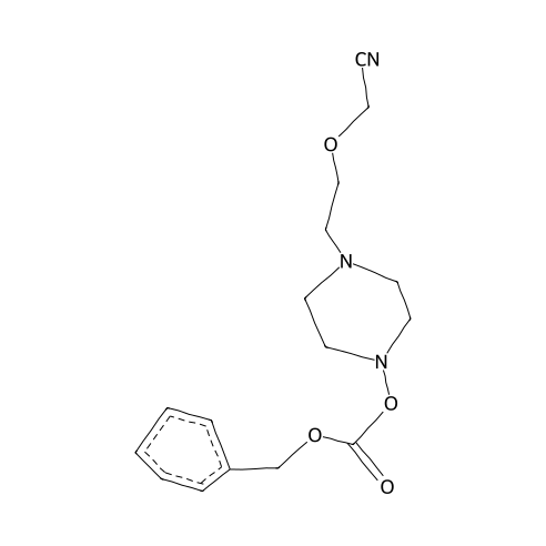 N#CCOCCN1CCN(OC(=O)OCc2ccccc2)CC1